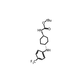 CC(C)(C)OC(=O)N[C@H]1CC[C@H](Nc2ccc(C(F)(F)F)cc2)CC1